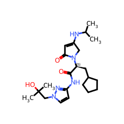 CC(C)NC1=CC(=O)N([C@@H](CC2CCCC2)C(=O)Nc2ccn(CC(C)(C)O)n2)C1